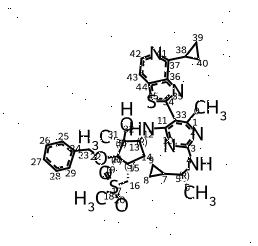 Cc1nc(N[C@H](C)C2CC2)nc(N[C@@H]2C[C@H](CS(C)(=O)=O)[C@@H](OCc3ccccc3)[C@@]2(C)O)c1-c1nc2c(C3CC3)nccc2s1